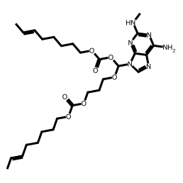 CC=CCCCCCOC(=O)OCCCOC(OC(=O)OCCCCCC=CC)n1cnc2c(N)nc(NC)nc21